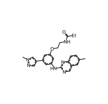 CCC(=O)NCCOc1cc(Nc2ncc3cc(C)ccc3n2)cc(-c2cnn(C)c2)c1